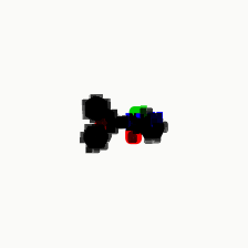 CC(C#CNC(=O)c1cccnc1Cl)(Cc1ccccc1)Oc1ccccc1